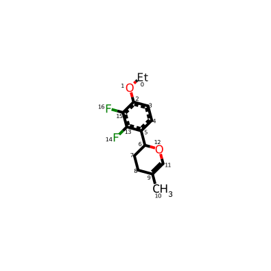 CCOc1ccc(C2CCC(C)=CO2)c(F)c1F